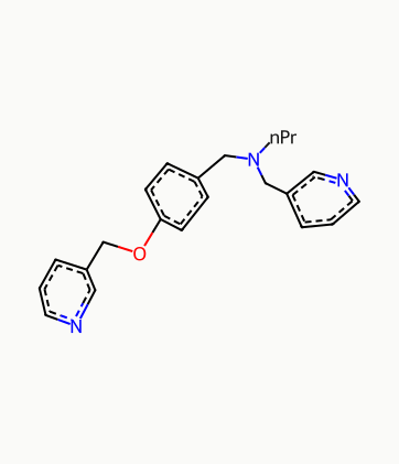 [CH2]CCN(Cc1ccc(OCc2cccnc2)cc1)Cc1cccnc1